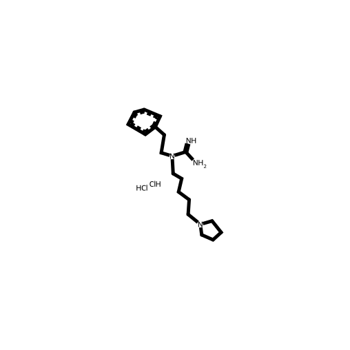 Cl.Cl.N=C(N)N(CCCCCN1CCCC1)CCc1ccccc1